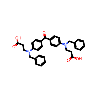 O=C(O)CCN(Cc1ccccc1)c1ccc(C(=O)c2ccc(N(CCC(=O)O)Cc3ccccc3)cc2)cc1